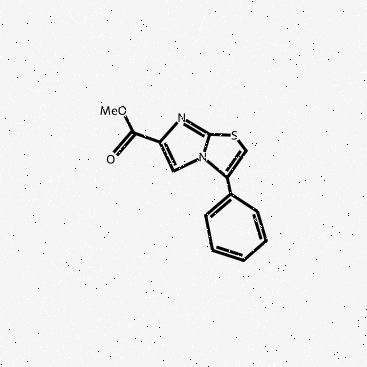 COC(=O)c1cn2c(-c3ccccc3)csc2n1